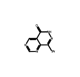 CC(C)c1n[nH]c(=O)c2cncnc12